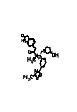 Cc1noc(-c2cccc([C@@H](CN3CC[C@H](O)C3)N(C)C(=O)Cc3ccc4c(c3)NC(=O)C4)c2)n1